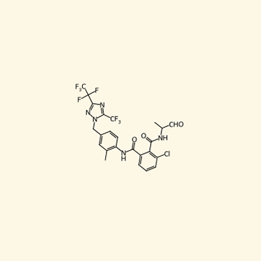 Cc1cc(Cn2nc(C(F)(F)C(F)(F)F)nc2C(F)(F)F)ccc1NC(=O)c1cccc(Cl)c1C(=O)NC(C)C=O